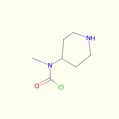 CN(C(=O)Cl)C1CCNCC1